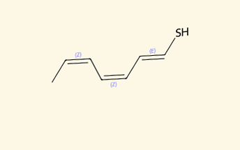 C\C=C/C=C\C=C\S